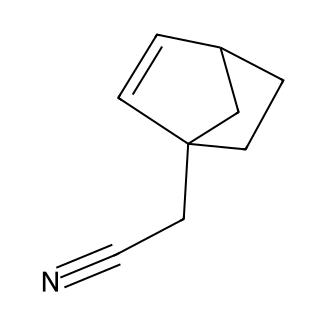 N#CCC12C=CC(CC1)C2